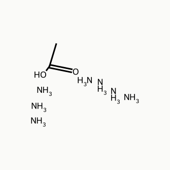 CC(=O)O.N.N.N.N.N.N.N